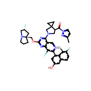 CCc1c(F)ccc2cc(O)cc(-c3ncc4c(N5CC(C(=O)n6ccc(C)n6)C6(CC6)C5)nc(OC[C@@]56CCCN5C[C@H](F)C6)nc4c3F)c12